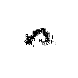 CC(C)(C)OC(=O)N[C@@H]1CCN(c2nccc(-c3ccc4cnc(CNC(=O)c5cc(F)cc(S(C)(=O)=O)c5)cc4n3)n2)CC1(F)F